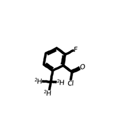 [2H]C([2H])([2H])c1cccc(F)c1C(=O)Cl